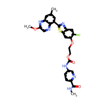 CNC(=O)c1ccc(NC(=O)OCCOc2cc3sc(-c4cc(C)cc5nc(OC)cnc45)nc3cc2F)cn1